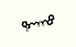 O=C(CCCc1c[nH]c2ccccc12)OC(=O)Cc1cccc2ccccc12